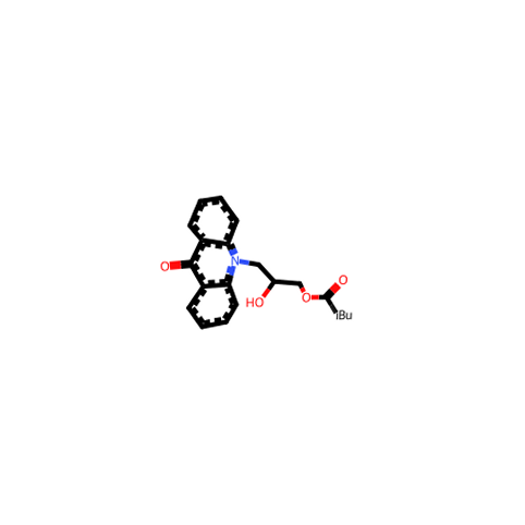 CCC(C)C(=O)OCC(O)Cn1c2ccccc2c(=O)c2ccccc21